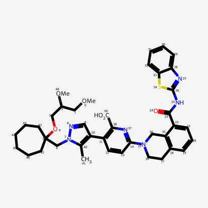 COCC(COC1(Cn2ncc(-c3ccc(N4CCc5cccc(C(=O)Nc6nc7ccccc7s6)c5C4)nc3C(=O)O)c2C)CCCCCC1)OC